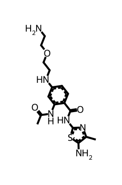 CC(=O)Nc1cc(NCCOCCN)ccc1C(=O)Nc1nc(C)c(N)s1